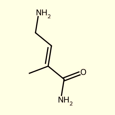 C/C(=C\CN)C(N)=O